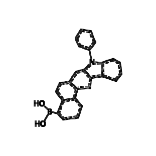 OB(O)c1cccc2c1ccc1cc3c(cc12)c1ccccc1n3-c1ccccc1